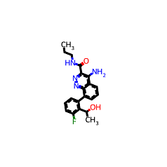 CCCNC(=O)c1nnc2c(-c3cccc(F)c3C(C)O)cccc2c1N